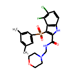 Cc1cc(C)cc(S(=O)(=O)c2c(C(=O)NCN3CCOCC3)[nH]c3ccc(Cl)c(F)c23)c1